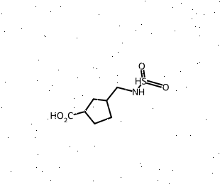 O=C(O)C1CCC(CN[SH](=O)=O)C1